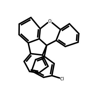 Clc1cccc(C23c4ccccc4Oc4cccc(c42)-c2ccccc23)c1